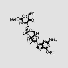 CCOc1nc(N)nc2c1ncn2[C@@H]1O[C@@H]2CO[P@](=O)(OC[C@H](NC(=O)OC)C(=O)OC(C)C)O[C@H]2[C@@H]1C